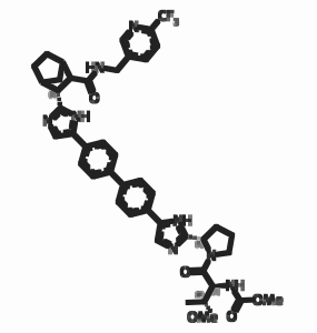 COC(=O)N[C@H](C(=O)N1CCC[C@H]1c1ncc(-c2ccc(-c3ccc(-c4cnc([C@@H]5C6CCC(C6)C5C(=O)NCc5ccc(C(F)(F)F)nc5)[nH]4)cc3)cc2)[nH]1)[C@@H](C)OC